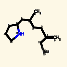 C=C(CCC(C)CC1CCCN1)CC(C)(C)C